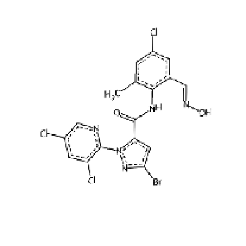 Cc1cc(Cl)cc(C=NO)c1NC(=O)c1cc(Br)nn1-c1ncc(Cl)cc1Cl